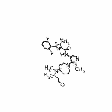 CC(CC=O)N(C)[C@H]1CCCN(c2c(NC(=O)c3nc(-c4c(F)cccc4F)sc3N)cnn2C)CC1